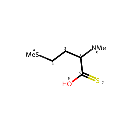 CNC(CCSC)C(O)=S